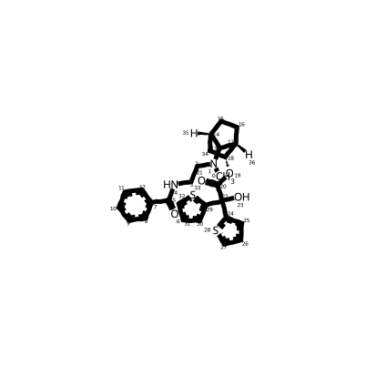 CN(CCNC(=O)c1ccccc1)C1[C@H]2CC[C@@H]1[C@H](OC(=O)C(O)(c1cccs1)c1cccs1)C2